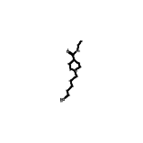 CCOC(=O)C1CCN(CCCCCO)CC1